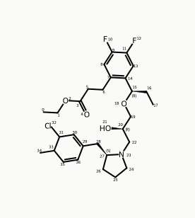 CCOC(=O)CCc1cc(F)c(F)cc1[C@@H](CC)OC[C@H](O)CN1CCC[C@H]1CC1=CC(Cl)C(C)C=C1